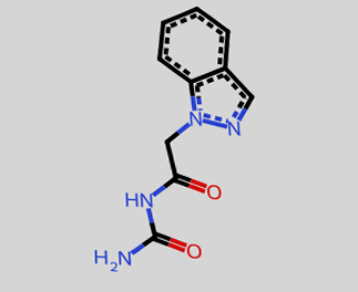 NC(=O)NC(=O)Cn1ncc2ccccc21